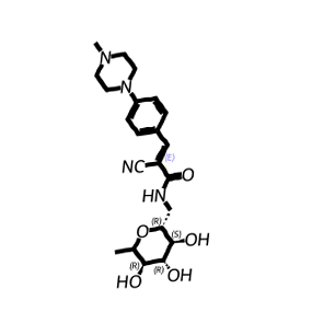 CC1O[C@H](CNC(=O)/C(C#N)=C/c2ccc(N3CCN(C)CC3)cc2)[C@@H](O)[C@H](O)[C@H]1O